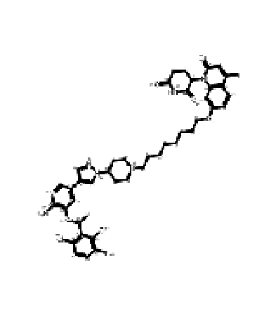 Cc1cc(=O)n(C2CCC(=O)NC2=O)c2cc(OCCCCCCCCN3CCC(n4cc(-c5cnc(N)c(OC(C)c6c(Cl)ccc(F)c6Cl)c5)cn4)CC3)ccc12